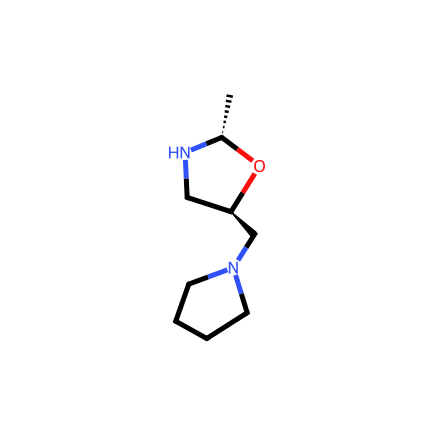 C[C@H]1NC[C@H](CN2CCCC2)O1